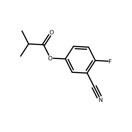 CC(C)C(=O)Oc1ccc(F)c(C#N)c1